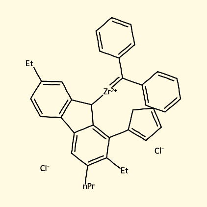 CCCc1cc2c(c(C3=CC=CC3)c1CC)[CH]([Zr+2]=[C](c1ccccc1)c1ccccc1)c1cc(CC)ccc1-2.[Cl-].[Cl-]